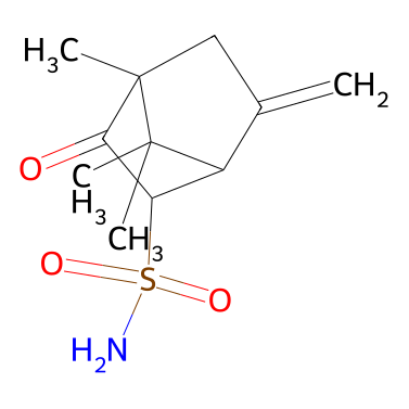 C=C1CC2(C)C(=O)C(S(N)(=O)=O)C1C2(C)C